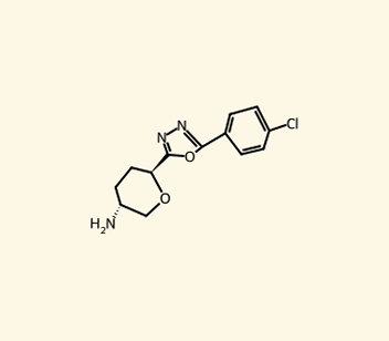 N[C@@H]1CC[C@@H](c2nnc(-c3ccc(Cl)cc3)o2)OC1